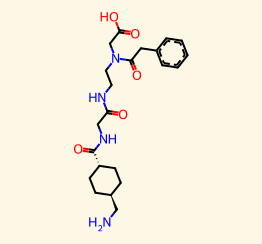 NC[C@H]1CC[C@H](C(=O)NCC(=O)NCCN(CC(=O)O)C(=O)Cc2ccccc2)CC1